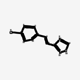 Clc1ccc(C=Cc2ncon2)cc1